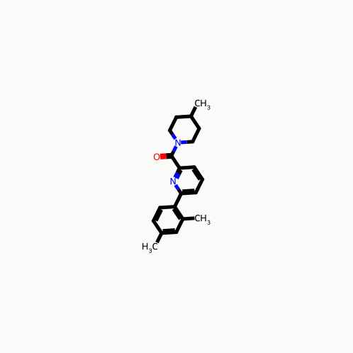 Cc1ccc(-c2cccc(C(=O)N3CCC(C)CC3)n2)c(C)c1